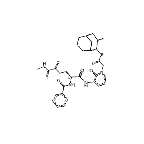 CNC(=O)C(=O)CC[C@H](NC(=O)c1cnccn1)C(=O)Nc1cccn(CC(=O)NC2C(C)CC3CCCC2C3)c1=O